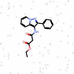 CCOC(=O)CC(=O)Nc1c(-c2ccccc2)nn2ccccc12